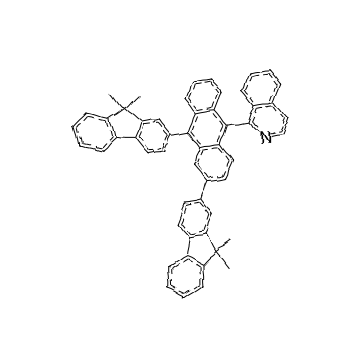 CC1(C)c2ccccc2-c2ccc(-c3ccc4c(-c5nccc6ccccc56)c5ccccc5c(-c5ccc6c(c5)C(C)(C)c5ccccc5-6)c4c3)cc21